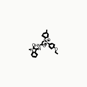 CCOc1ccc(S(=O)(=O)N(CC(=O)NN=C2C(=O)N(C)c3ccccc32)c2ccc(C)cc2)cc1